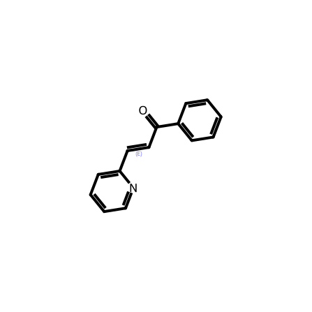 O=C(/C=C/c1ccccn1)c1ccccc1